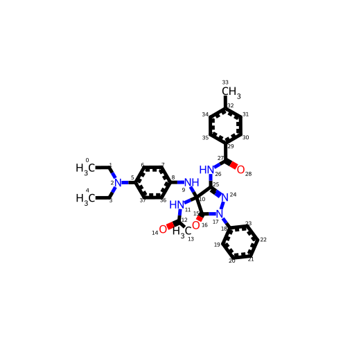 CCN(CC)c1ccc(NC2(NC(C)=O)C(=O)N(c3ccccc3)N=C2NC(=O)c2ccc(C)cc2)cc1